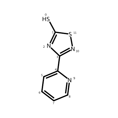 Sc1nc(-c2ccccn2)ns1